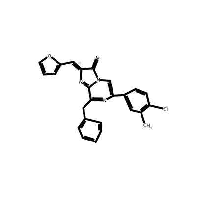 Cc1cc(C2=CN3C(=O)/C(=C/c4ccco4)N=C3C(Cc3ccccc3)=N2)ccc1Cl